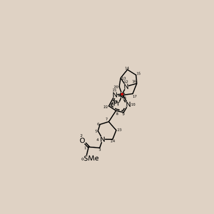 CSC(=O)CN1CCC(c2cnc(N3C4CCC3CN(C(C)C)C4)nc2)CC1